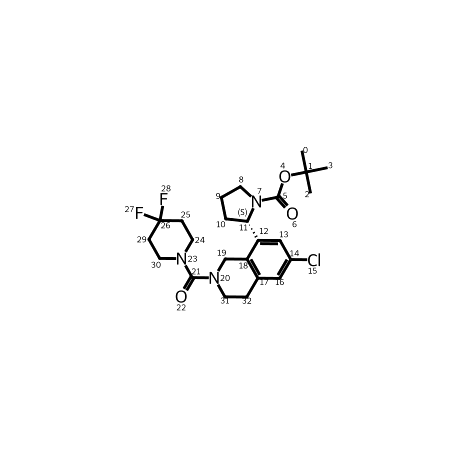 CC(C)(C)OC(=O)N1CCC[C@H]1c1cc(Cl)cc2c1CN(C(=O)N1CCC(F)(F)CC1)CC2